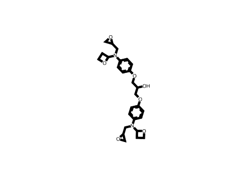 OC(COc1ccc(N(CC2CO2)C2CCO2)cc1)COc1ccc(N(CC2CO2)C2CCO2)cc1